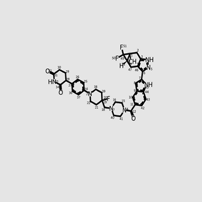 C[C@@]12Cc3[nH]nc(-c4cc5cc(C(=O)N6CCN(CC7(F)CCN(c8ccc(C9CCC(=O)NC9=O)cc8)CC7)CC6)ccc5[nH]4)c3C[C@@H]1C2(F)F